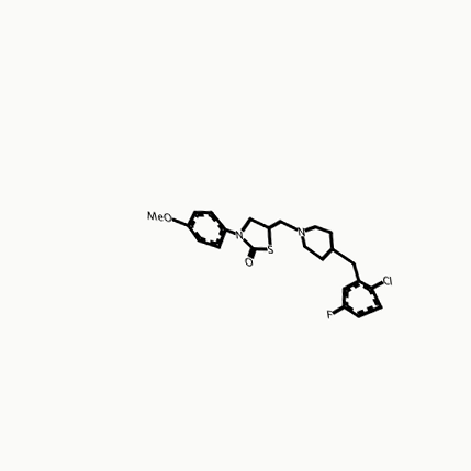 COc1ccc(N2CC(CN3CCC(Cc4cc(F)ccc4Cl)CC3)SC2=O)cc1